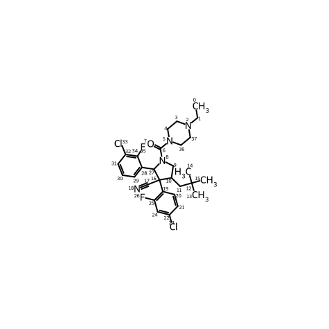 CCN1CCN(C(=O)N2CC(CC(C)(C)C)C(C#N)(c3ccc(Cl)cc3F)C2c2cccc(Cl)c2F)CC1